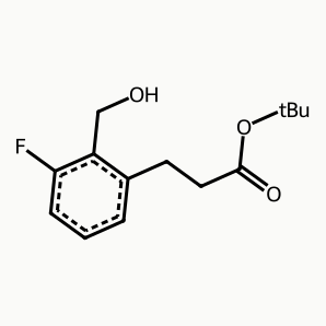 CC(C)(C)OC(=O)CCc1cccc(F)c1CO